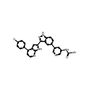 CCCC(=O)Nc1cncc(-c2ccc3[nH]nc(-c4cc5c(-c6ccc(F)cc6)ccnc5[nH]4)c3c2)c1